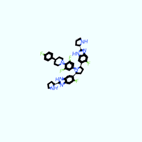 Fc1ccc(C2CCN(c3c(F)cc(N4[C@@H](c5cc6[nH]c([C@@H]7CCCN7)nc6cc5F)CC[C@H]4c4cc5[nH]c([C@@H]6CCCN6)nc5cc4F)cc3F)CC2)cc1